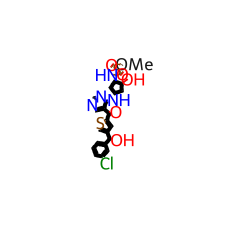 COS(=O)(=O)N[C@@H]1C[C@@H](Nc2ncncc2C(=O)c2cc([C@@H](O)c3cccc(Cl)c3)cs2)C[C@@H]1O